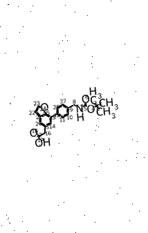 CC(C)(C)OC(=O)NCc1ccc(-c2cc(CC(=O)O)cc3ccoc23)cc1